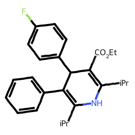 CCOC(=O)C1=C(C(C)C)NC(C(C)C)=C(c2ccccc2)C1c1ccc(F)cc1